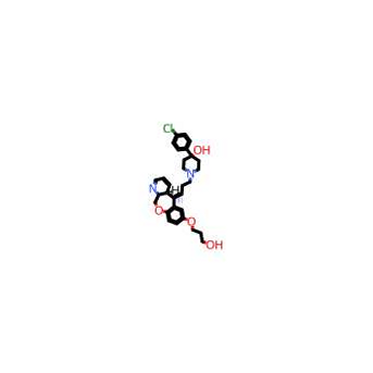 OCCCOc1ccc2c(c1)/C(=C/CCN1CCC(O)(c3ccc(Cl)cc3)CC1)[C@@H]1C=CC=NC1CO2